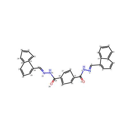 O=C(N/N=C/c1cccc2ccccc12)c1ccc(C(=O)N/N=C/c2cccc3ccccc23)cc1